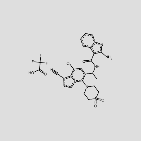 CC(NC(=O)c1c(N)nn2cccnc12)c1cc(Cl)c2c(C#N)ncn2c1N1CCS(=O)(=O)CC1.O=C(O)C(F)(F)F